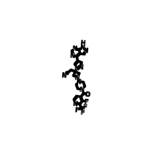 N#CCC1(n2cc(-c3ncnc4[nH]ncc34)cn2)CN(N2CCN(C(=O)c3ccnc(C(F)(F)F)c3F)CC2)C1